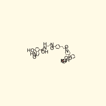 CN(CCCNC[C@H](O)c1ccc(O)c2[nH]c(=O)ccc12)C(=O)c1ccc(CCC(=O)N2CCC(C(=O)O[C@H]3CN4CCC3CC4)(c3ccccc3)CC2)cc1